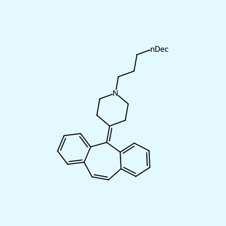 CCCCCCCCCCCCCN1CCC(=C2c3ccccc3C=Cc3ccccc32)CC1